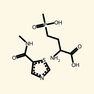 CNC(=O)c1cncs1.CP(=O)(O)CCC(N)C(=O)O